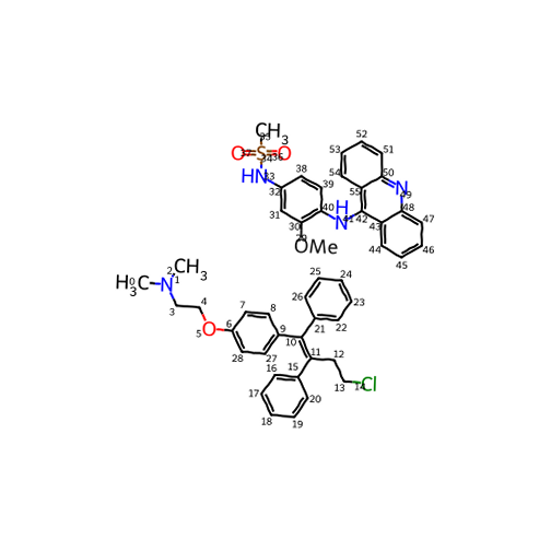 CN(C)CCOc1ccc(/C(=C(/CCCl)c2ccccc2)c2ccccc2)cc1.COc1cc(NS(C)(=O)=O)ccc1Nc1c2ccccc2nc2ccccc12